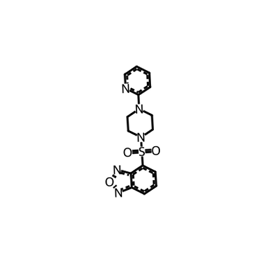 O=S(=O)(c1cccc2nonc12)N1CCN(c2ccccn2)CC1